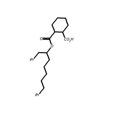 CC(C)CCCCCC(CC(C)C)OC(=O)C1CCCCC1C(=O)O